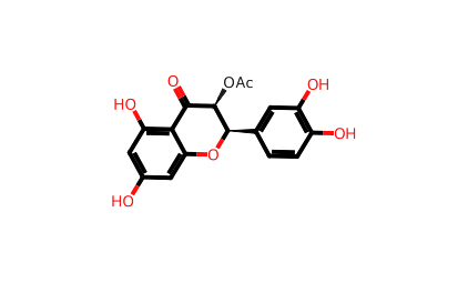 CC(=O)O[C@@H]1C(=O)c2c(O)cc(O)cc2O[C@@H]1c1ccc(O)c(O)c1